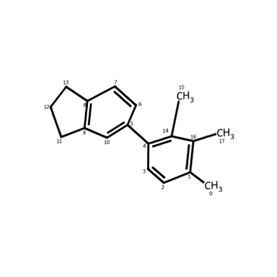 Cc1ccc(-c2ccc3c(c2)CCC3)c(C)c1C